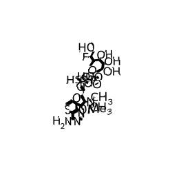 CO[C@@H]1[C@H](N(C)C)[C@@H](COP(=O)(S)OP(=O)(O)OC2OCC([C@@H](F)CO)C(O)C(O)C2O)O[C@@]12C=CSc1c(N)ncnc12